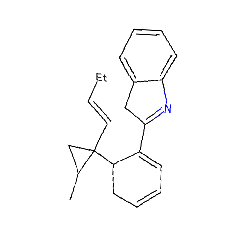 CCC=CC1(C2CC=CC=C2C2=Nc3ccccc3C2)CC1C